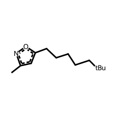 Cc1cc(CCCCCC(C)(C)C)on1